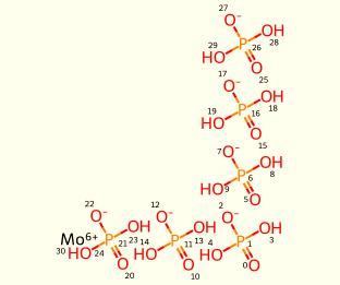 O=P([O-])(O)O.O=P([O-])(O)O.O=P([O-])(O)O.O=P([O-])(O)O.O=P([O-])(O)O.O=P([O-])(O)O.[Mo+6]